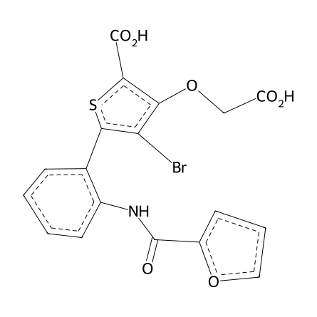 O=C(O)COc1c(C(=O)O)sc(-c2ccccc2NC(=O)c2ccco2)c1Br